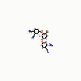 N#Cc1ccc(Oc2ccc(Br)c(Oc3ccc(C#N)c(C#N)c3)c2)cc1C#N